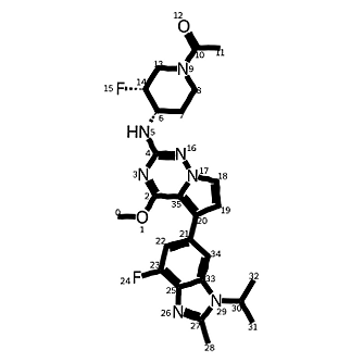 COc1nc(N[C@H]2CCN(C(C)=O)C[C@H]2F)nn2ccc(-c3cc(F)c4nc(C)n(C(C)C)c4c3)c12